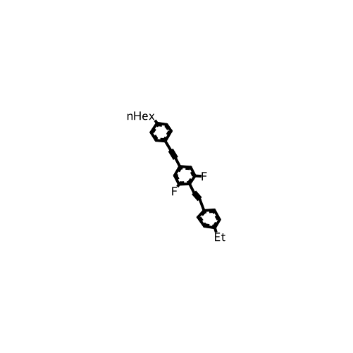 CCCCCCc1ccc(C#Cc2cc(F)c(C#Cc3ccc(CC)cc3)c(F)c2)cc1